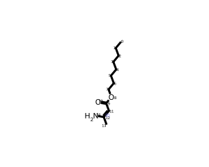 CCCCCCCCOC(=O)/C=C(/C)N